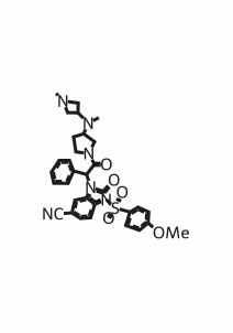 COc1ccc(S(=O)(=O)n2c(=O)n(C(C(=O)N3CCC(N(C)C4CN(C)C4)C3)c3ccccc3)c3cc(C#N)ccc32)cc1